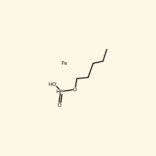 CCCCCO[PH](=O)O.[Fe]